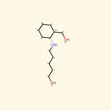 OCCCCCN[C@@H]1CCCCC1CO